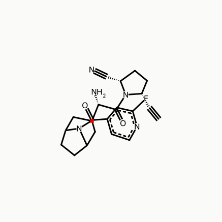 C#C[C@H]1CC[C@@H](C#N)N1C(=O)[C@@H](N)C1CC2CCC(C1)N2C(=O)c1ccnc(F)c1